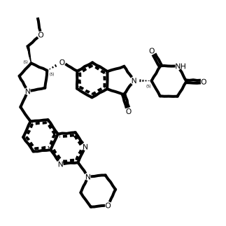 COC[C@@H]1CN(Cc2ccc3nc(N4CCOCC4)ncc3c2)C[C@H]1Oc1ccc2c(c1)CN([C@H]1CCC(=O)NC1=O)C2=O